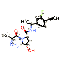 C#Cc1ccc(C(C)NC(=O)[C@@H]2C[C@@H](O)CN2C(=O)C(N)C(C)(C)C)cc1F